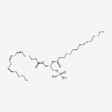 CCCCC/C=C\C/C=C\C/C=C\CCCCC(=O)OC[C@H](COP(=O)(O)O)OC(=O)CCCCCCCCCCCCCC